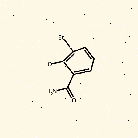 CCc1cccc(C(N)=O)c1O